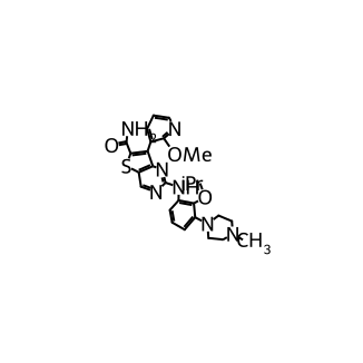 COc1ncccc1-c1c(C(N)=O)sc2cnc(Nc3cccc(N4CCN(C)CC4)c3OC(C)C)nc12